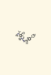 C=N/C(=C(F)\C=N/CNc1ccc(C2CCN(C)CC2)cn1)c1sc(/C(=C\N(C)C)C(C)C)c(C=O)c1C